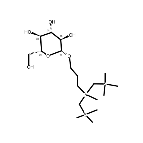 CS(C)(C)CS(C)(CCCO[C@@H]1O[C@H](CO)[C@@H](O)[C@H](O)[C@H]1O)CS(C)(C)C